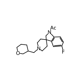 CC(=O)N1CC2(CCN(CC3CCCOC3)CC2)c2cc(F)ccc21